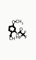 C#Cc1ccc(OC)cc1NC(=O)C(F)(F)F